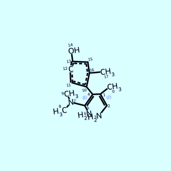 CC(=C/N)/C(=C(\N)N(C)C)c1ccc(O)cc1C